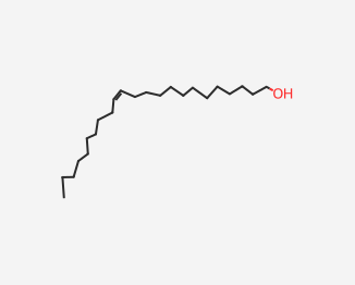 CCCCCCCCC/C=C\CCCCCCCCCCCCO